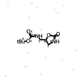 CC(C)(C)OC(=O)NCC1CNC(=O)O1